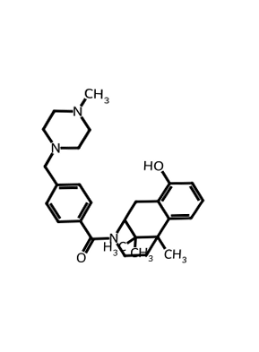 CN1CCN(Cc2ccc(C(=O)N3CCC4(C)c5cccc(O)c5CC3C4(C)C)cc2)CC1